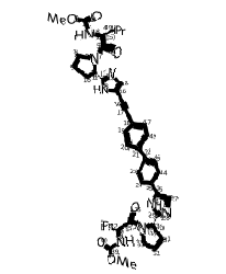 COC(=O)N[C@H](C(=O)N1CCC[C@H]1c1ncc(C#Cc2ccc(-c3ccc(-c4cnc([C@@H]5CCCN5C(=O)[C@@H](NC(=O)OC)C(C)C)[nH]4)cc3)cc2)[nH]1)C(C)C